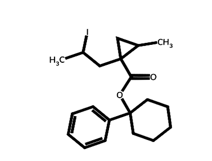 CC(I)CC1(C(=O)OC2(c3ccccc3)CCCCC2)CC1C